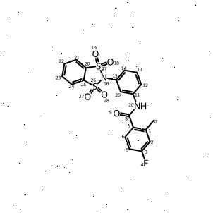 Cc1cc(F)ccc1C(=O)Nc1cccc(N2S(=O)(=O)c3ccccc3S2(=O)=O)c1